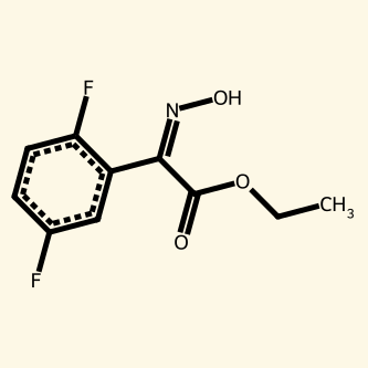 CCOC(=O)C(=NO)c1cc(F)ccc1F